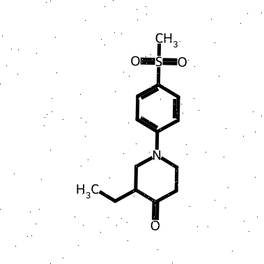 CCC1CN(c2ccc(S(C)(=O)=O)cc2)CCC1=O